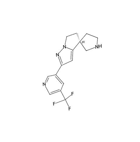 FC(F)(F)c1cncc(-c2cc3n(n2)CC[C@@]32CCNC2)c1